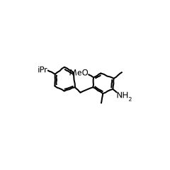 COc1cc(C)c(N)c(C)c1Cc1ccc(C(C)C)cc1